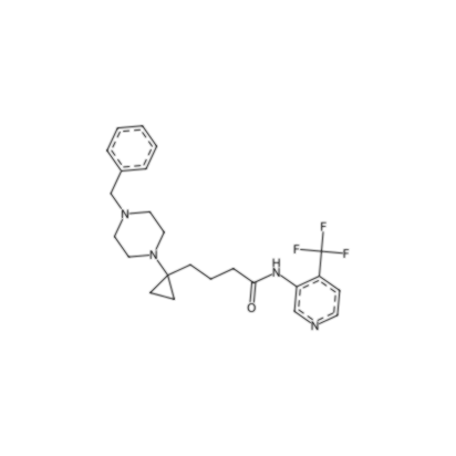 O=C(CCCC1(N2CCN(Cc3ccccc3)CC2)CC1)Nc1cnccc1C(F)(F)F